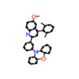 COc1ccc2nc(-c3cccc(N4c5ccccc5Oc5ccccc54)c3)cc(-c3c(C)cccc3C)c2c1